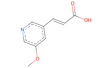 COc1cncc(C=CC(=O)O)c1